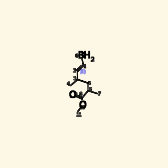 B/C=C/C(C)CC(C)C(=O)OC